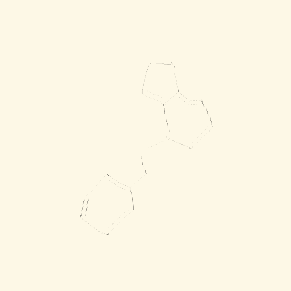 C1=CN(OCc2ccccc2)C2=CCNC2=C1